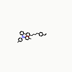 C=Cc1ccc(CCCCc2ccc(-c3ccccc3N(c3ccc(C)cc3)c3ccc(C)cc3)cc2)cc1